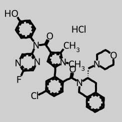 Cc1c(C(=O)N(c2ccc(O)cc2)c2cnc(F)cn2)cc(-c2cc(Cl)ccc2C(=O)N2Cc3ccccc3C[C@H]2CN2CCOCC2)n1C.Cl